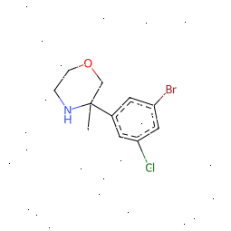 CC1(c2cc(Cl)cc(Br)c2)COCCN1